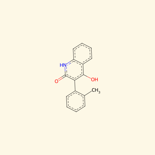 Cc1ccccc1-c1c(O)c2ccccc2[nH]c1=O